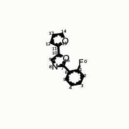 Fc1ccccc1-c1ncc(-c2ccco2)o1